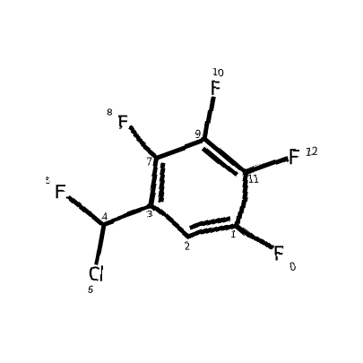 Fc1cc(C(F)Cl)c(F)c(F)c1F